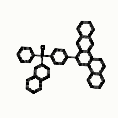 O=P(c1ccccc1)(c1ccc(-c2cc3c4ccccc4ccc3c3cc4ccccc4cc23)cc1)c1ccc2ccccc2c1